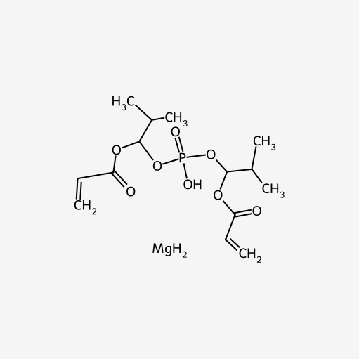 C=CC(=O)OC(OP(=O)(O)OC(OC(=O)C=C)C(C)C)C(C)C.[MgH2]